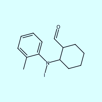 Cc1ccccc1N(I)C1CCCCC1C=O